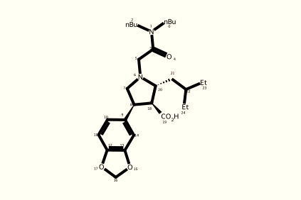 CCCCN(CCCC)C(=O)CN1C[C@H](c2ccc3c(c2)OCO3)[C@H](C(=O)O)[C@H]1CC(CC)CC